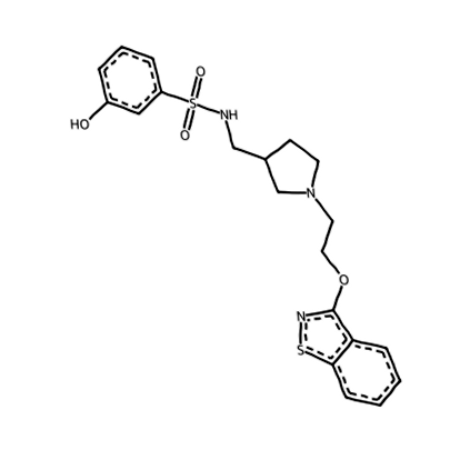 O=S(=O)(NCC1CCN(CCOc2nsc3ccccc23)C1)c1cccc(O)c1